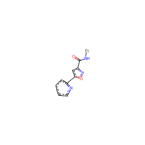 CCNC(=O)c1cc(-c2ccccn2)on1